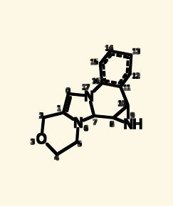 C1=C2COCCN2C2C3NC3c3ccccc3N12